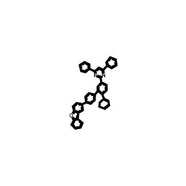 C1=CCCC(c2ccc(-c3nc(-c4ccccc4)cc(-c4ccccc4)n3)cc2-c2ccc(-c3ccc4oc5ccccc5c4c3)cc2)=C1